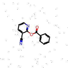 N#Cc1cccnc1OC(=O)c1ccccc1